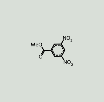 COC(=O)c1cc([N+](=O)[O-])cc([N+](=O)[O-])c1